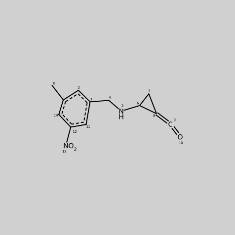 Cc1cc(CNC2CC2=C=O)cc([N+](=O)[O-])c1